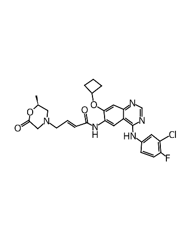 C[C@H]1CN(C/C=C/C(=O)Nc2cc3c(Nc4ccc(F)c(Cl)c4)ncnc3cc2OC2CCC2)CC(=O)O1